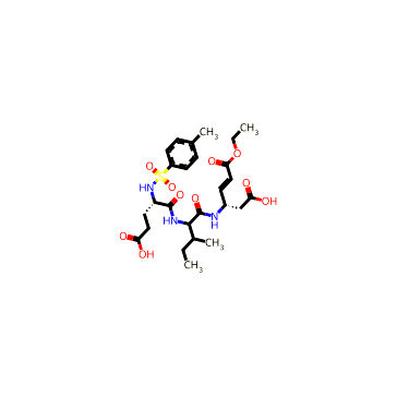 CCOC(=O)/C=C/[C@H](CC(=O)O)NC(=O)C(NC(=O)[C@H](CCC(=O)O)NS(=O)(=O)c1ccc(C)cc1)C(C)CC